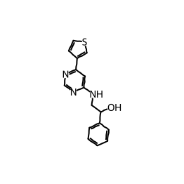 OC(CNc1cc(-c2ccsc2)ncn1)c1ccccc1